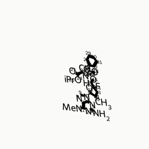 CNc1nc(N)nc2c1ncn2[C@@H]1O[C@](F)(CO[P@@](=O)(N[C@@H](C)C(=O)OC(C)C)Oc2ccccc2)C[C@@H]1C